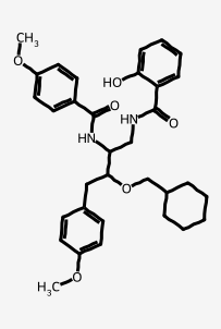 COc1ccc(CC(OCC2CCCCC2)C(CNC(=O)c2ccccc2O)NC(=O)c2ccc(OC)cc2)cc1